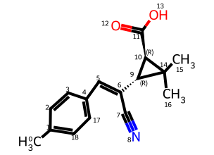 Cc1ccc(C=C(C#N)[C@@H]2[C@@H](C(=O)O)C2(C)C)cc1